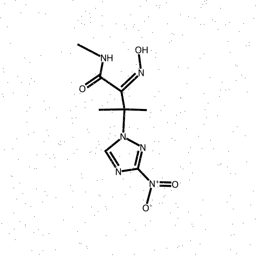 CNC(=O)C(=NO)C(C)(C)n1cnc([N+](=O)[O-])n1